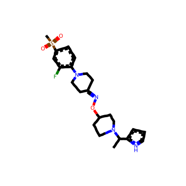 CC(c1ccc[nH]1)N1CCC(ON=C2CCN(c3ccc(S(C)(=O)=O)cc3F)CC2)CC1